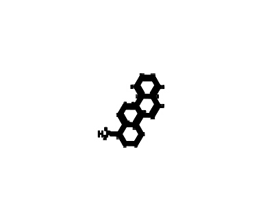 PC1CCCc2c1ccc1c2ccc2ccccc21